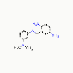 CN(C)c1cccc(NCc2cc(N)ccc2N)c1